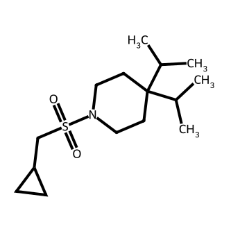 CC(C)C1(C(C)C)CCN(S(=O)(=O)CC2CC2)CC1